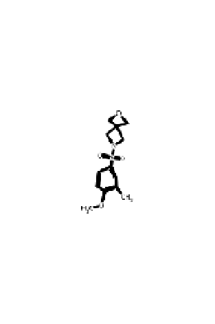 COc1ccc(S(=O)(=O)N2CC3(COC3)C2)cc1C